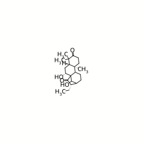 CC[C@@H]1C(=O)C23C(O)C1CCC2[C@]1(C)CCC(=O)C(C)(C)[C@H]1C[C@H]3O